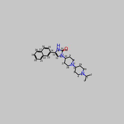 CC(C)N1CCC(N2CCC(n3cc(-c4ccc5ccccc5c4)[nH]c3=O)CC2)CC1